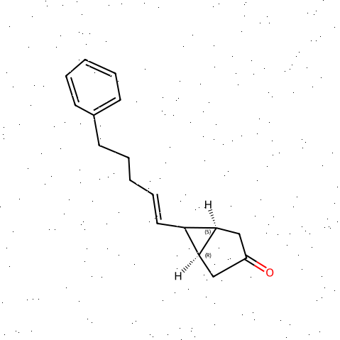 O=C1C[C@@H]2C(C=CCCCc3ccccc3)[C@@H]2C1